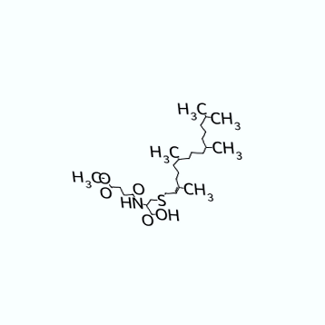 COC(=O)CCC(=O)NC(CSCC=C(C)CCCC(C)CCCC(C)CCCC(C)C)C(=O)O